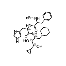 CCCNC(Cc1ccccc1)C(=O)N[C@@H](Cc1c[nH]cn1)C(=O)N[C@@H](CC1CCCCC1)[C@@H](O)[C@@H](O)C1CC1